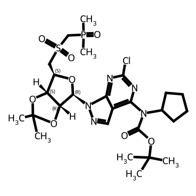 CC(C)(C)OC(=O)N(c1nc(Cl)nc2c1cnn2[C@@H]1O[C@H](CS(=O)(=O)CP(C)(C)=O)[C@H]2OC(C)(C)O[C@H]21)C1CCCC1